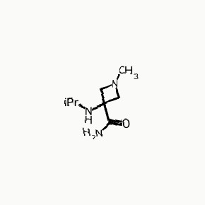 CC(C)NC1(C(N)=O)CN(C)C1